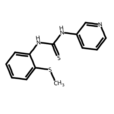 CSc1ccccc1NC(=S)Nc1cccnc1